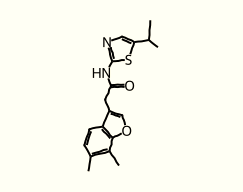 Cc1ccc2c(CC(=O)Nc3ncc(C(C)C)s3)coc2c1C